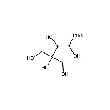 O=CC(O)C(O)C(O)(CO)CO